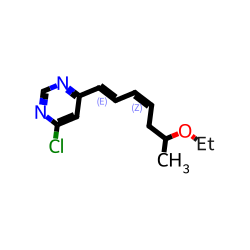 CCOC(C)C/C=C\C=C\c1cc(Cl)ncn1